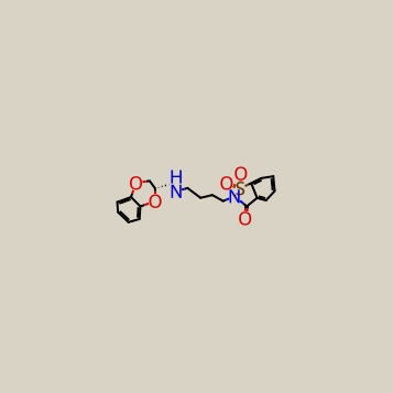 O=C1c2ccccc2S(=O)(=O)N1CCCCNC[C@H]1COc2ccccc2O1